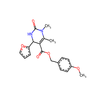 COc1ccc(COC(=O)C2=C(C)N(C)C(=O)NC2c2ccco2)cc1